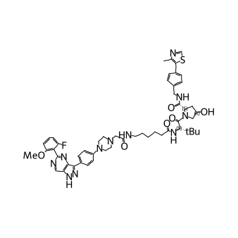 COc1cccc(F)c1-c1ncc2[nH]nc(-c3ccc(N4CCN(CC(=O)NCCCCCC(=O)N[C@H](C(=O)N5C[C@H](O)C[C@H]5C(=O)NCc5ccc(-c6scnc6C)cc5)C(C)(C)C)CC4)cc3)c2n1